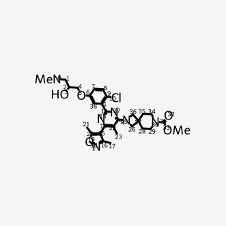 CNCC(O)COc1ccc(Cl)c(-c2nc(-c3c(C)noc3C)c(C)c(N3CC4(CCN(C(=O)OC)CC4)C3)n2)c1